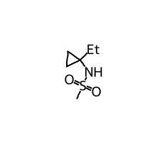 CCC1(NS(C)(=O)=O)CC1